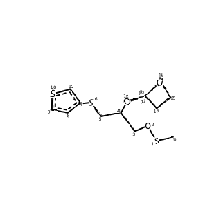 CSOCC(CSc1ccsc1)O[C@@H]1CCO1